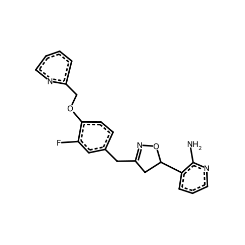 Nc1ncccc1C1CC(Cc2ccc(OCc3ccccn3)c(F)c2)=NO1